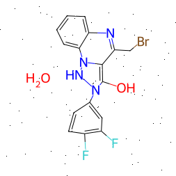 O.OC1=C2C(CBr)=Nc3ccccc3N2NN1c1ccc(F)c(F)c1